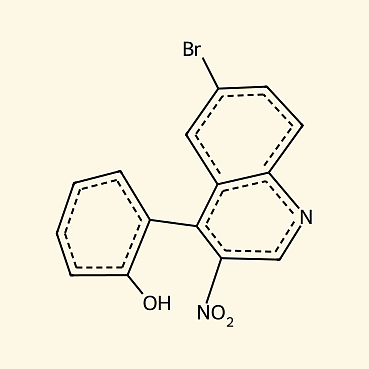 O=[N+]([O-])c1cnc2ccc(Br)cc2c1-c1ccccc1O